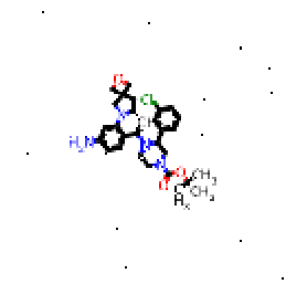 C=C(c1ccc(N)cc1N1CCC2(COC2)C1)N1CCN(C(=O)OC(C)(C)C)CC1c1cccc(Cl)c1